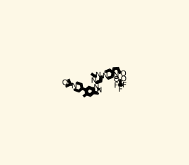 Cc1nc(N2CCC3(CCC(=O)N3OC(=O)C(F)(F)F)CC2)cc(-n2ncc3cc(C)c(C4CCN(C5COC5)CC4)cc32)n1